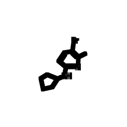 Cc1nc(NC2CCCC2)ccc1Br